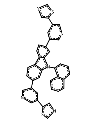 c1ccc2c(-n3c4cc(-c5cncc(-c6cncs6)c5)ccc4c4ccc(-c5cncc(-c6cncs6)c5)cc43)cccc2c1